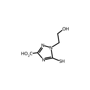 O=C(O)c1nc(S)n(CCO)n1